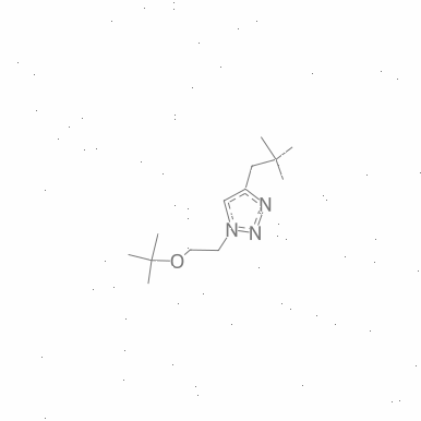 CC(C)(C)Cc1cn(CCOC(C)(C)C)nn1